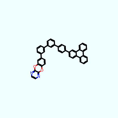 c1cc(-c2ccc(-c3ccc4c5ccccc5c5ccccc5c4c3)cc2)cc(-c2cccc(-c3ccc4c(c3)Oc3nccnc3O4)c2)c1